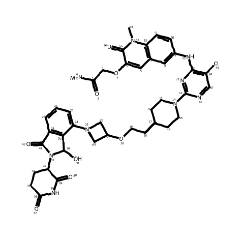 CNC(=O)COc1cc2cc(Nc3nc(N4CCC(CCOC5CN(c6cccc7c6C(O)N(C6CCC(=O)NC6=O)C7=O)C5)CC4)ncc3Cl)ccc2n(C)c1=O